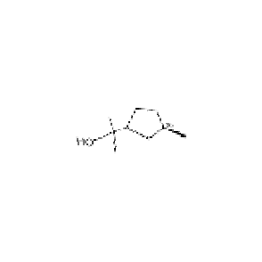 C[C@@H]1CCC(C(C)(C)O)C1